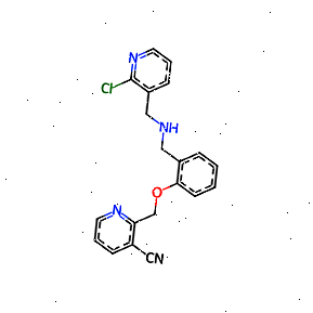 N#Cc1cccnc1COc1ccccc1CNCc1cccnc1Cl